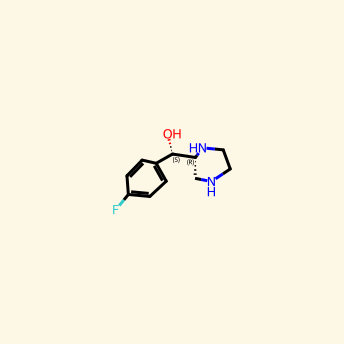 O[C@@H](c1ccc(F)cc1)[C@H]1CNCCN1